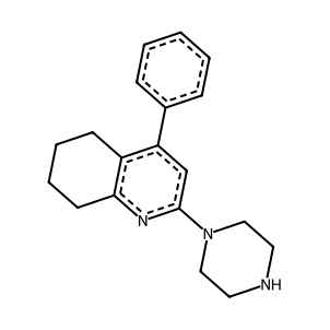 c1ccc(-c2cc(N3CCNCC3)nc3c2CCCC3)cc1